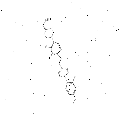 COc1ccc(-c2ccc(CCc3ccc(C4CCC(CO)CC4)c(F)c3F)cc2)c(F)c1